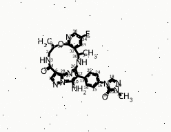 CC1CNC(=O)c2cnn3c(N)c(-c4ccc(-n5cnn(C)c5=O)cc4)c(nc23)NC(C)c2cc(F)cnc2O1